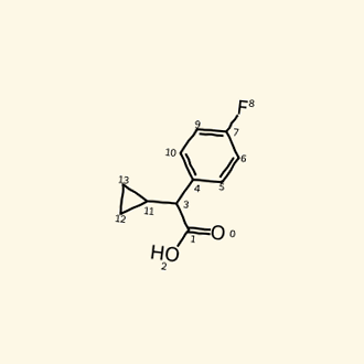 O=C(O)C(c1ccc(F)cc1)C1CC1